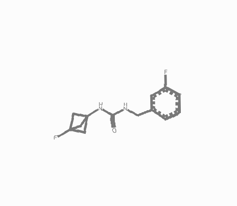 O=C(NCc1cccc(F)c1)NC12CC(F)(C1)C2